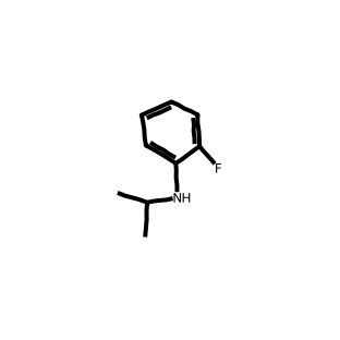 CC(C)Nc1ccccc1F